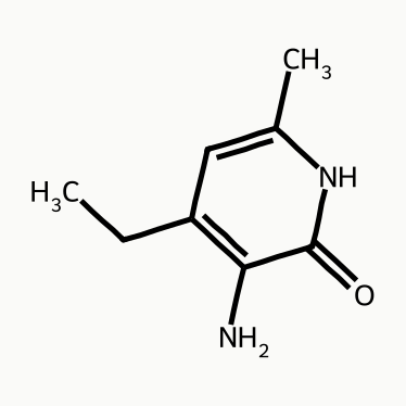 CCc1cc(C)[nH]c(=O)c1N